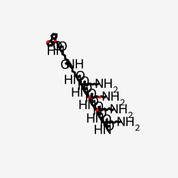 CNC(=O)CN(CCNC(=O)CN(CCNC(=O)CN(CCNC(=O)CN(CCNC(=O)CCCCCNC(=O)CCCCCNC(=O)OCC1c2ccccc2-c2ccccc21)C(=O)CCCCCN)C(=O)CCCCCN)C(=O)CCCCCN)C(=O)CCCCCN